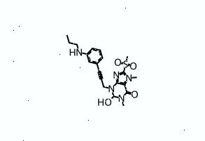 CCCNc1cccc(C#CCN2c3nc(S(C)(=O)=O)n(C)c3C(=O)N(C)C2O)c1